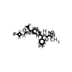 Cc1nonc1C(=O)N[C@H](c1cn2ncc(C(NC(=O)C[C@H]3C[C@H](F)C3)C3CC3)cc2n1)C1CCC(F)(F)CC1